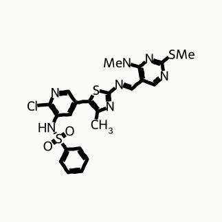 CNc1nc(SC)ncc1/C=N/c1nc(C)c(-c2cnc(Cl)c(NS(=O)(=O)c3ccccc3)c2)s1